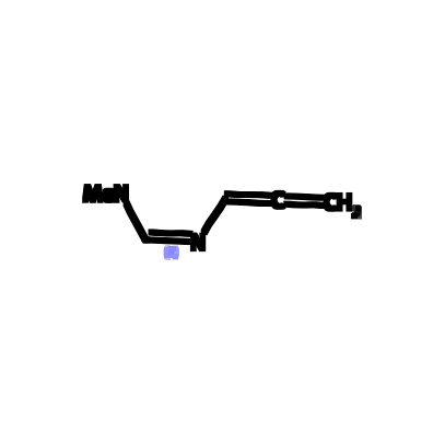 C=C=C/N=C\NC